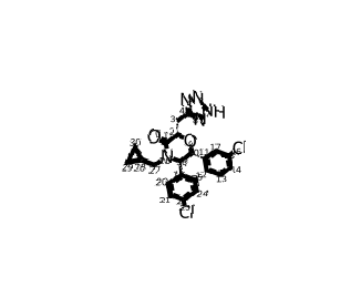 O=C1[C@H](Cc2nn[nH]n2)O[C@H](c2cccc(Cl)c2)[C@@H](c2ccc(Cl)cc2)N1CC1CC1